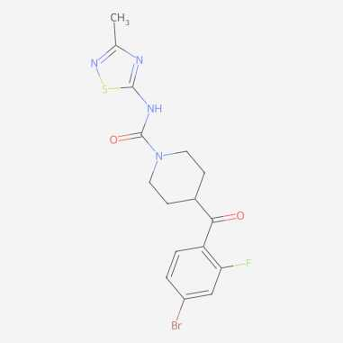 Cc1nsc(NC(=O)N2CCC(C(=O)c3ccc(Br)cc3F)CC2)n1